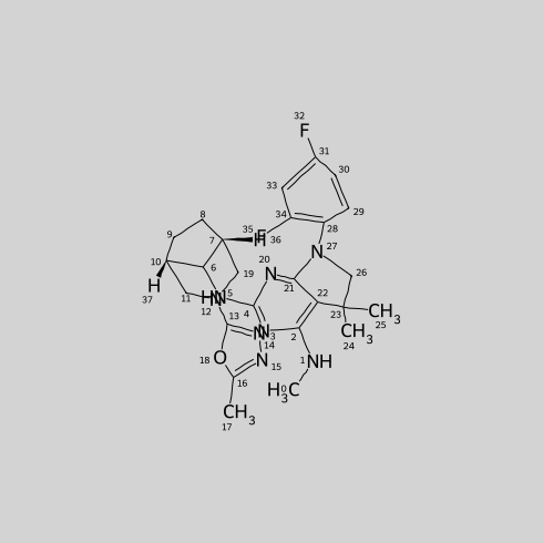 CNc1nc(NC2[C@@H]3CC[C@H]2CN(c2nnc(C)o2)C3)nc2c1C(C)(C)CN2c1ccc(F)cc1F